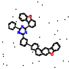 c1ccc(-c2nc(-c3cccc(-c4ccc5c(ccc6cc7oc8ccccc8c7cc65)c4)c3)nc(-c3cccc4oc5ccccc5c34)n2)cc1